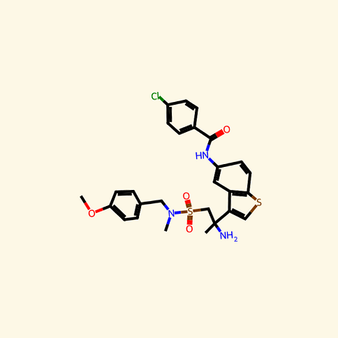 COc1ccc(CN(C)S(=O)(=O)CC(C)(N)c2csc3ccc(NC(=O)c4ccc(Cl)cc4)cc23)cc1